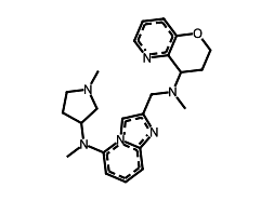 CN1CCC(N(C)c2cccc3nc(CN(C)C4CCOc5cccnc54)cn23)C1